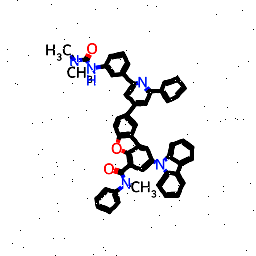 CN(C)C(=O)Nc1cccc(-c2cc(-c3ccc4oc5c(C(=O)N(C)c6ccccc6)cc(-n6c7ccccc7c7ccccc76)cc5c4c3)cc(-c3ccccc3)n2)c1